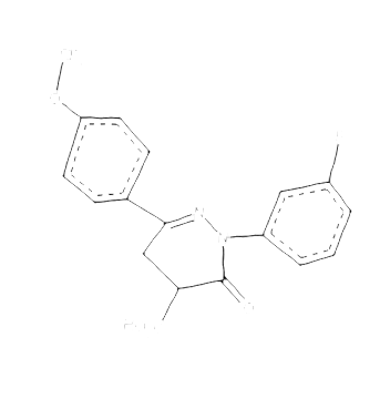 O=C(O)C1CC(c2ccc(OC(F)(F)F)cc2)=NN(c2cccc(F)c2)C1=O